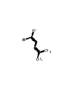 CC(C)=CC=C(Br)Br